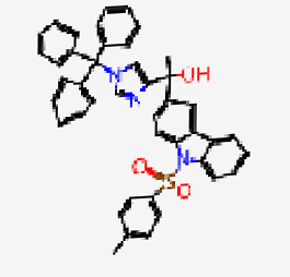 Cc1ccc(S(=O)(=O)n2c3ccccc3c3cc(C(C)(O)c4cn(C(c5ccccc5)(c5ccccc5)c5ccccc5)cn4)ccc32)cc1